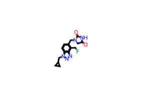 O=C1CN(Cc2ccc3c(nnn3CC3CC3)c2CF)C(=O)N1